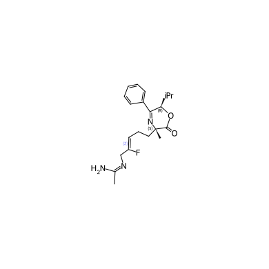 CC(N)=NC/C(F)=C/CC[C@]1(C)N=C(c2ccccc2)[C@@H](C(C)C)OC1=O